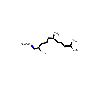 CON=CC(C)CCCC(C)CCC=C(C)C